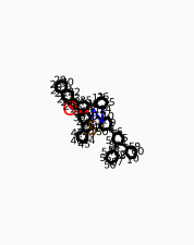 c1ccc(-c2ccc(-c3ccc(N(c4ccccc4-c4ccc5oc6cc7ccccc7cc6c5c4)c4cccc5c4sc4ccccc45)cc3)cc2-c2ccccc2)cc1